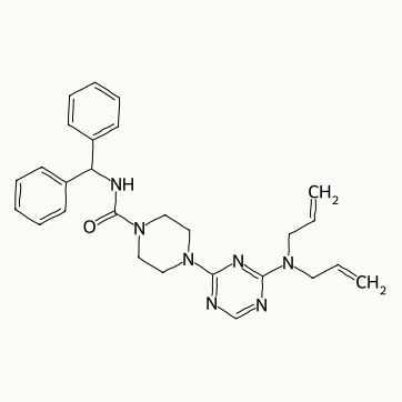 C=CCN(CC=C)c1ncnc(N2CCN(C(=O)NC(c3ccccc3)c3ccccc3)CC2)n1